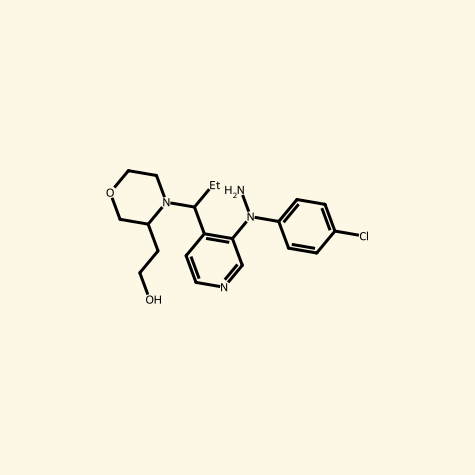 CCC(c1ccncc1N(N)c1ccc(Cl)cc1)N1CCOCC1CCO